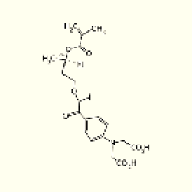 C=C(C)C(=O)O[C@@](C)(CC)CCOC(I)C(=O)c1ccc(N(CC(=O)O)CC(=O)O)cc1